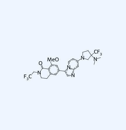 COc1cc(-c2cnc3cc(N4CCC(N(C)C)(C(F)(F)F)C4)ccn23)cc2c1C(=O)N(CC(F)(F)F)CC2